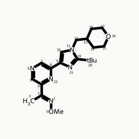 CON=C(C)c1cncc(-c2cn(CC3CCOCC3)c(C(C)(C)C)n2)n1